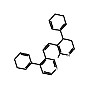 CC1=C(/C=C\c2cnccc2C2=CCCC=C2)C(C2=CCCC=C2)CC=N1